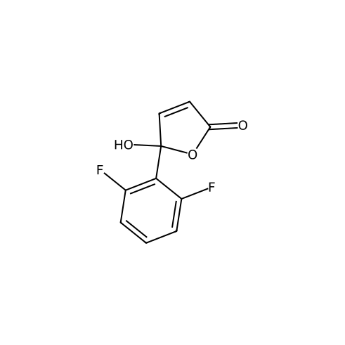 O=C1C=CC(O)(c2c(F)cccc2F)O1